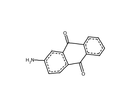 Nc1[c]c2c(cc1)C(=O)c1ccccc1C2=O